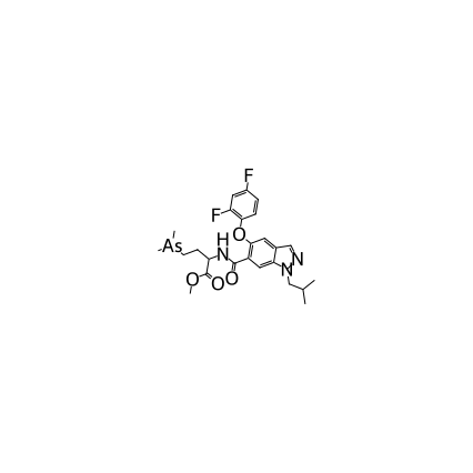 COC(=O)C(CC[As](C)C)NC(=O)c1cc2c(cnn2CC(C)C)cc1Oc1ccc(F)cc1F